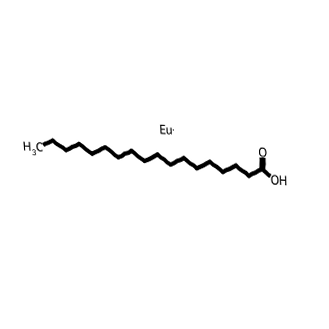 CCCCCCCCCCCCCCCCCC(=O)O.[Eu]